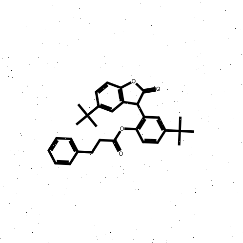 CC(C)(C)c1ccc(OC(=O)CCc2ccccc2)c(C2C(=O)Oc3ccc(C(C)(C)C)cc32)c1